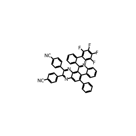 N#Cc1ccc(-c2nc3cc(-c4ccccc4)c4c5ccccc5nc(-c5ccccc5-c5c(F)c(F)c(F)c(F)c5F)c4c3nc2-c2ccc(C#N)cc2)cc1